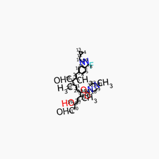 C/C(=C\c1ccc2c(F)nn(CC3CC3)c2c1)[C@@H](C=O)[C@@H](C)/C=C/[C@H](OC(=O)N1CCN(C)CC1)[C@@H](C)CC[C@@H](O)CC=O